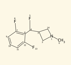 CN1CC(C(F)c2c(F)cccc2F)C1